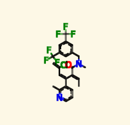 C=C(Cl)/C=C(\C(=C/C)C(=O)N(C)Cc1cc(C(F)(F)F)cc(C(F)(F)F)c1)c1cccnc1C